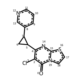 O=c1c(Cl)c(C2CC2c2cccnc2)nc2sccn12